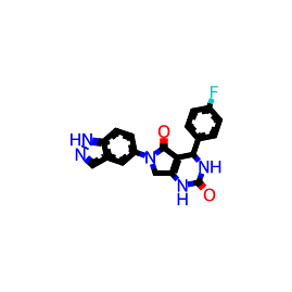 O=C1NC2=C(C(=O)N(c3ccc4[nH]ncc4c3)C2)C(c2ccc(F)cc2)N1